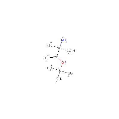 C[C@H](O[Si](C)(C)C(C)(C)C)[C@@](N)(C(=O)O)C(C)(C)C